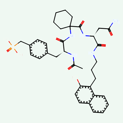 CC(=O)N[C@@H](Cc1ccc(CP(=O)(O)O)cc1)C(=O)NC1(C(=O)N[C@@H](CC(N)=O)C(=O)NCCCc2c(O)ccc3ccccc23)CCCCC1